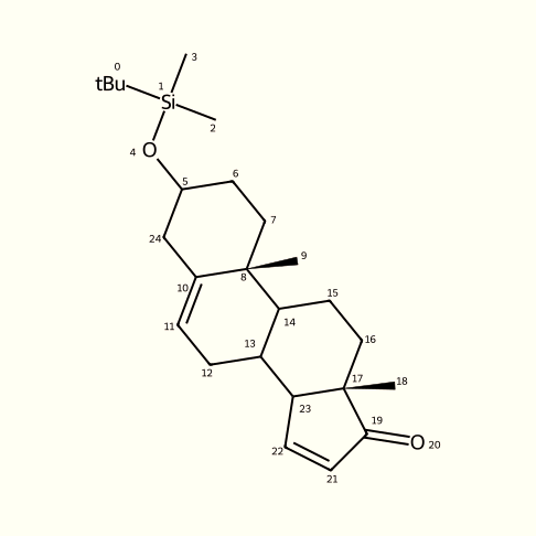 CC(C)(C)[Si](C)(C)OC1CC[C@@]2(C)C(=CCC3C2CC[C@]2(C)C(=O)C=CC32)C1